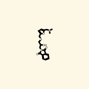 CN(C)Cc1ccc(CSCC(O)CN2C(=O)c3ccccc3C2=O)o1